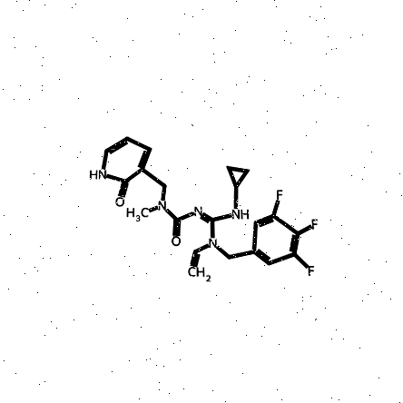 C=CN(Cc1cc(F)c(F)c(F)c1)/C(=N\C(=O)N(C)Cc1ccc[nH]c1=O)NC1CC1